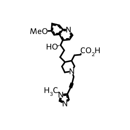 COc1ccc2nccc([C@@H](O)CCC3CCN(CC#Cc4cncn4C)CC3CCC(=O)O)c2c1